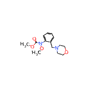 COC(=O)N(OC)c1ccccc1CN1CCOCC1